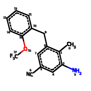 Cc1c(N)cc(C#N)cc1Cc1ccccc1OC(F)(F)F